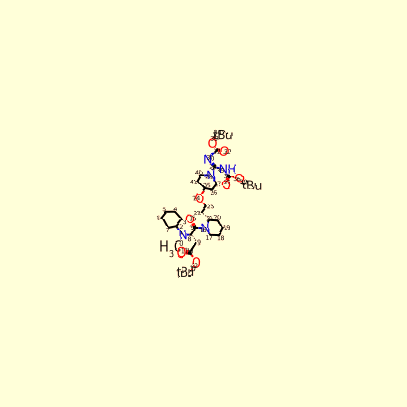 CN(C1CCCCC1)[C@@H](CC(=O)OC(C)(C)C)C(=O)N1CCCC[C@H]1CCOC1CCN(C(=NC(=O)OC(C)(C)C)NC(=O)OC(C)(C)C)CC1